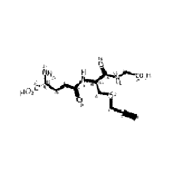 C#CCSC[C@@H](NC(=O)CC[C@@H](N)C(=O)O)C(=O)NCC(=O)O